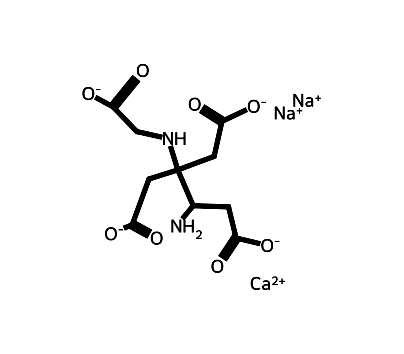 NC(CC(=O)[O-])C(CC(=O)[O-])(CC(=O)[O-])NCC(=O)[O-].[Ca+2].[Na+].[Na+]